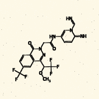 COC(c1nn(CC(=O)Nc2ccc(=N)n(C=N)c2)c(=O)c2ccc(C(F)(F)F)cc12)C(F)(F)F